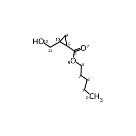 CCCCCOC(=O)C1CC1CO